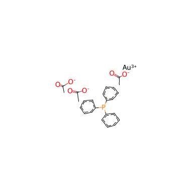 CC(=O)[O-].CC(=O)[O-].CC(=O)[O-].[Au+3].c1ccc(P(c2ccccc2)c2ccccc2)cc1